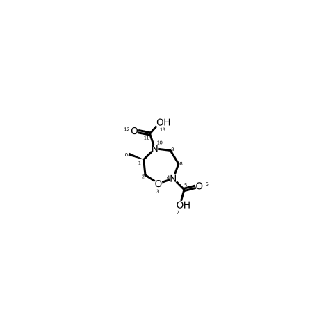 C[C@@H]1CON(C(=O)O)CCN1C(=O)O